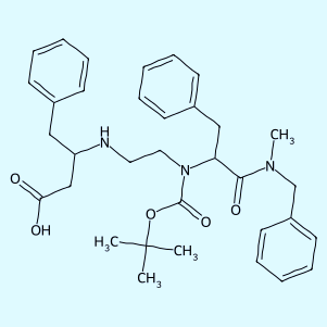 CN(Cc1ccccc1)C(=O)C(Cc1ccccc1)N(CCNC(CC(=O)O)Cc1ccccc1)C(=O)OC(C)(C)C